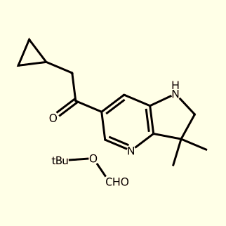 CC(C)(C)OC=O.CC1(C)CNc2cc(C(=O)CC3CC3)cnc21